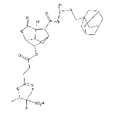 CC(C)C(OCC12CC3CC(CC(C3)C1)C2)OC(=O)C1C2CC3C(OC(=O)[C@H]31)C2OC(=O)CCC(=O)OC(C)C(F)(F)S(=O)(=O)O